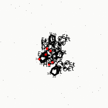 CCO[Si](OCC)(OCC)SS(SS)(C1CC2CCC1C2)C1(S(SS)(S[Si](OCC)(OCC)OCC)C2CC3CCC2C3)CCCC1(S(SS)(S[Si](OCC)(OCC)OCC)C1CC2CCC1C2)S(SS)(S[Si](OCC)(OCC)OCC)C1CC2CCC1C2